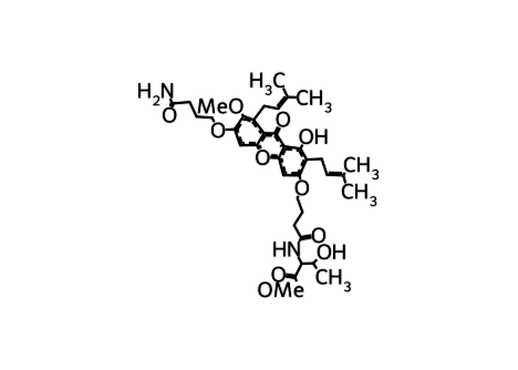 COC(=O)C(NC(=O)CCCOc1cc2oc3cc(OCCCC(N)=O)c(OC)c(CC=C(C)C)c3c(=O)c2c(O)c1CC=C(C)C)C(C)O